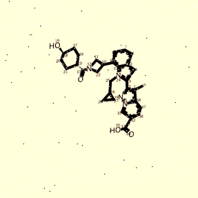 Cc1c(-c2cc3cccc(C4CN(C(=O)[C@H]5CC[C@H](O)CC5)C4)c3n2CC2CC2)nn2cc(C(=O)O)ccc12